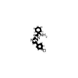 NC1(c2nn3c(-c4ccc(Cl)cc4)cnc3s2)CCCCC1